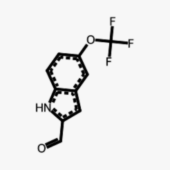 O=Cc1cc2cc(OC(F)(F)F)ccc2[nH]1